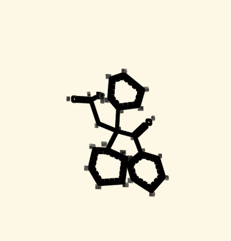 CCC(=O)CC(C(=O)c1ccccc1)(c1ccccc1)c1ccccc1